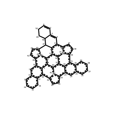 C1=CC2=Cc3c4c5c6c7c8c(cc9ccccc9c8c8ccc9c%10cc%11ccccc%11c%11c%10c(c5n5c3ccc%115)c7n98)c3ccc(n36)C4C2CC1